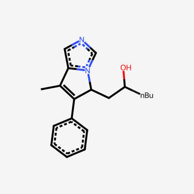 CCCCC(O)CC1C(c2ccccc2)=C(C)c2cncn21